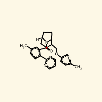 Cc1ccc(OCC2CC[C@@H]3CCC2N3C(=O)c2cc(C)ccc2-c2ncccn2)cc1